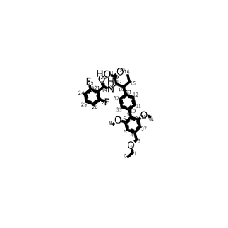 CCOCc1cc(OC)c(-c2ccc(C(CC)[C@H](NC(=O)c3c(F)cccc3F)C(=O)O)cc2)c(OC)c1